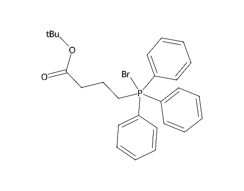 CC(C)(C)OC(=O)CCCP(Br)(c1ccccc1)(c1ccccc1)c1ccccc1